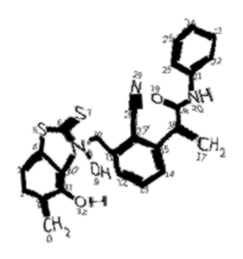 C=C1CC=C2SC(=S)[N+](O)(Cc3cccc(C(=C)C(=O)Nc4ccccc4)c3C#N)C2=C1O